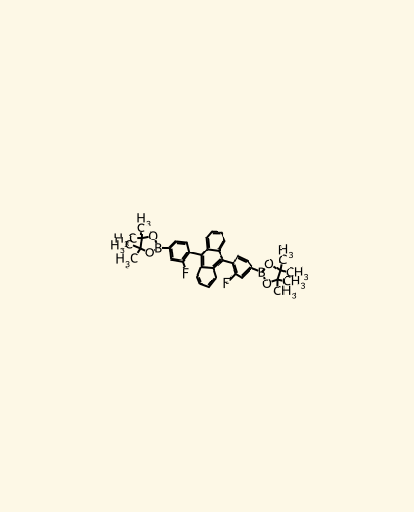 CC1(C)OB(c2ccc(-c3c4ccccc4c(-c4ccc(B5OC(C)(C)C(C)(C)O5)cc4F)c4ccccc34)c(F)c2)OC1(C)C